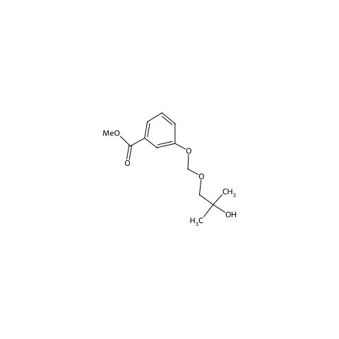 COC(=O)c1cccc(OCOCC(C)(C)O)c1